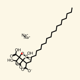 CCCCCCCCCCCCCCCCCCC(C(=O)[O-])C(C(=O)[O-])(C(C)(C(=O)O)C(=O)O)S(=O)(=O)O.[Na+].[Na+]